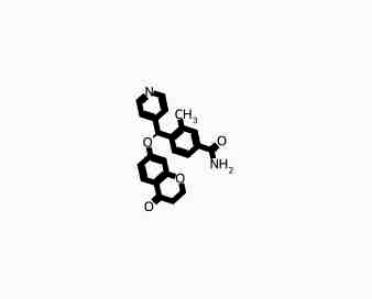 Cc1cc(C(N)=O)ccc1[C@H](Oc1ccc2c(c1)OCCC2=O)c1ccncc1